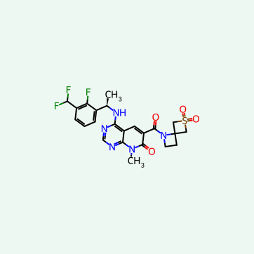 C[C@@H](Nc1ncnc2c1cc(C(=O)N1CCC13CS(=O)(=O)C3)c(=O)n2C)c1cccc(C(F)F)c1F